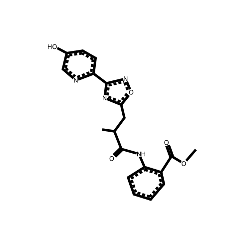 COC(=O)c1ccccc1NC(=O)C(C)Cc1nc(-c2ccc(O)cn2)no1